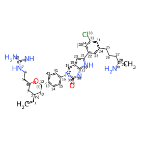 C=C[C@H]1C[C@@H](CCNC(=N)N)O[C@H](c2ccc(-n3cc4cc(-c5cc(CCC[C@H](C)N)cc(Cl)c5F)[nH]c4nc3=O)cc2)C1